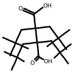 CC(C)(C)CC(CC(C)(C)C)(C(=O)O)C(CC(C)(C)C)(CC(C)(C)C)C(=O)O